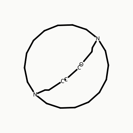 C1CCCCN2CCCCCCCCN(CCC1)CCCCCOCC2